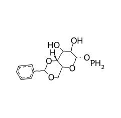 OC1C(O)[C@H]2OC(c3ccccc3)OCC2O[C@H]1OP